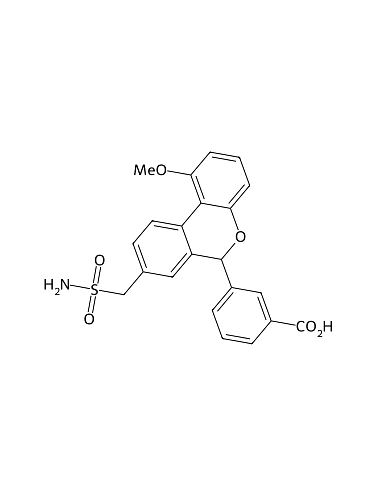 COc1cccc2c1-c1ccc(CS(N)(=O)=O)cc1C(c1cccc(C(=O)O)c1)O2